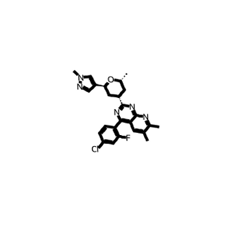 Cc1cc2c(-c3ccc(Cl)cc3F)nc([C@H]3C[C@@H](C)O[C@H](c4cnn(C)c4)C3)nc2nc1C